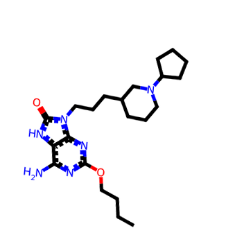 CCCCOc1nc(N)c2[nH]c(=O)n(CCCC3CCCN(C4CCCC4)C3)c2n1